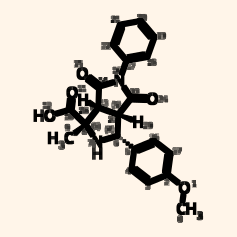 COc1ccc([C@@H]2N[C@](C)(C(=O)O)[C@@H]3C(=O)N(c4ccccc4)C(=O)[C@@H]32)cc1